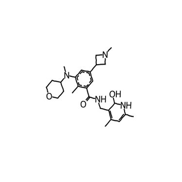 CC1=CC(C)=C(CNC(=O)c2cc(C3CN(C)C3)cc(N(C)C3CCOCC3)c2C)C(O)N1